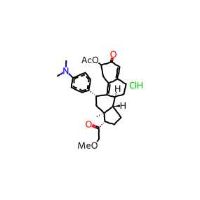 COCC(=O)[C@H]1CC[C@H]2[C@@H]3CCC4=CC(=O)C(OC(C)=O)CC4=C3[C@@H](c3ccc(N(C)C)cc3)C[C@]12C.Cl